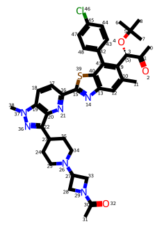 CC(=O)[C@@H](OC(C)(C)C)c1c(C)cc2nc(-c3ccc4c(n3)c(C3CCN(C5CN(C(C)=O)C5)CC3)nn4C)sc2c1-c1ccc(Cl)cc1